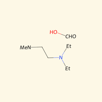 CCN(CC)CCNC.O=CO